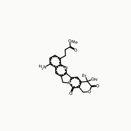 CCC1(O)C(=O)OCc2c1cc1n(c2=O)Cc2cc3c(N)ccc(CCC(=O)OC)c3nc2-1